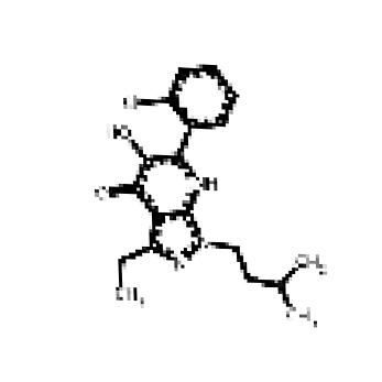 CCc1nn(CCC(C)C)c2[nH]c(-c3ccccc3Cl)c(O)c(=O)c12